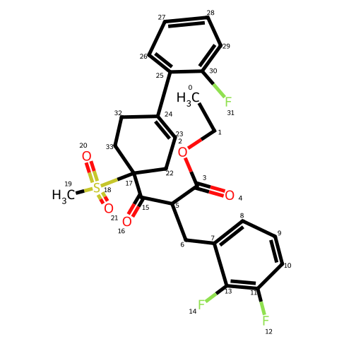 CCOC(=O)C(Cc1cccc(F)c1F)C(=O)C1(S(C)(=O)=O)CC=C(c2ccccc2F)CC1